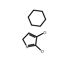 C1CCCCC1.ClC1=CCN=C1Cl